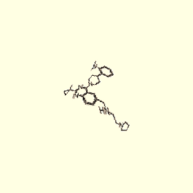 CN(C)c1ccccc1C1CCN(c2nc(C3(C)CC3)nc3ccc(CNCCN4CCCC4)cc23)CC1